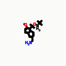 COc1ccc2cc(CN)ccc2c1C(C)(C)O[SiH2]C(C)(C)C